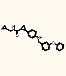 O=C(NCC1CC1)C1CC1c1ccc(NCc2cccc(Oc3ccccc3)c2)cc1